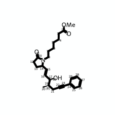 COC(=O)CCCCCCN1C(=O)CCC1C=C[C@@H](O)[C@H](C)CC#Cc1ccccc1